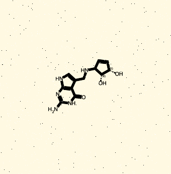 Nc1nc2[nH]cc(CNC3C=C[C@H](O)[C@@H]3O)c2c(=O)[nH]1